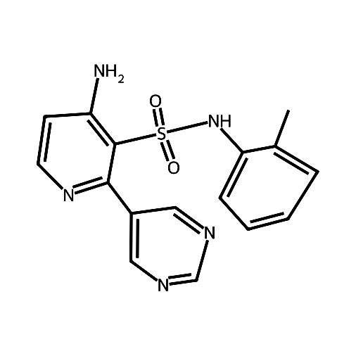 Cc1ccccc1NS(=O)(=O)c1c(N)ccnc1-c1cncnc1